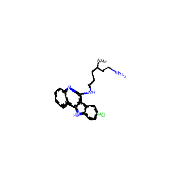 CNC(CCN)CCCNc1nc2ccccc2c2[nH]c3ccccc3c12.Cl